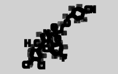 CC(C)(c1ccc(Cl)c(Cl)c1)c1cnc(S(=O)(=O)CCOCc2ccc(C#N)cc2)n1-c1ccc(F)cc1